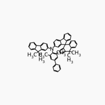 Cc1cc(-c2ccccc2)cc(C)c1N(c1ccc2c(c1)C(C)(C)c1ccccc1-2)c1ccc2c(c1)C1(c3ccccc3-2)c2ccccc2C(C)(C)c2ccccc21